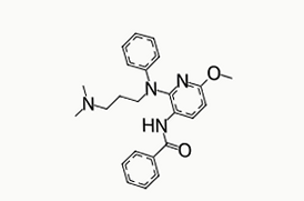 COc1ccc(NC(=O)c2ccccc2)c(N(CCCN(C)C)c2ccccc2)n1